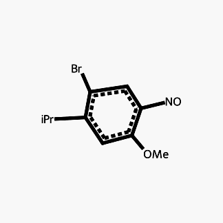 COc1cc(C(C)C)c(Br)cc1N=O